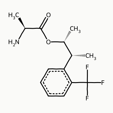 C[C@H](N)C(=O)O[C@H](C)[C@H](C)c1ccccc1C(F)(F)F